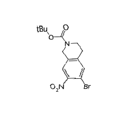 CC(C)(C)OC(=O)N1CCc2cc(Br)c([N+](=O)[O-])cc2C1